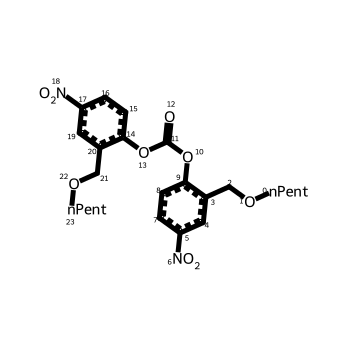 CCCCCOCc1cc([N+](=O)[O-])ccc1OC(=O)Oc1ccc([N+](=O)[O-])cc1COCCCCC